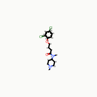 CN1CCC(N(C)C(=O)CCCOc2ccc(Cl)cc2Cl)CC1